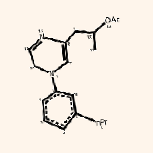 CCCc1cccc(N2C=C(CC(C)OC(C)=O)N=CC2)c1